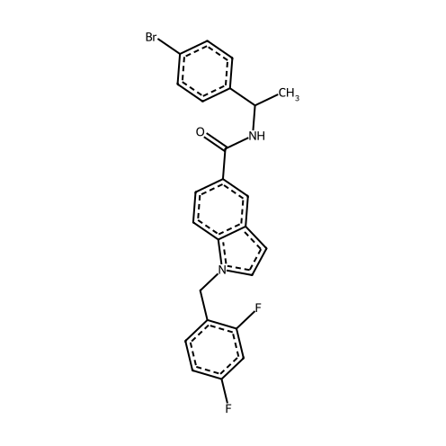 CC(NC(=O)c1ccc2c(ccn2Cc2ccc(F)cc2F)c1)c1ccc(Br)cc1